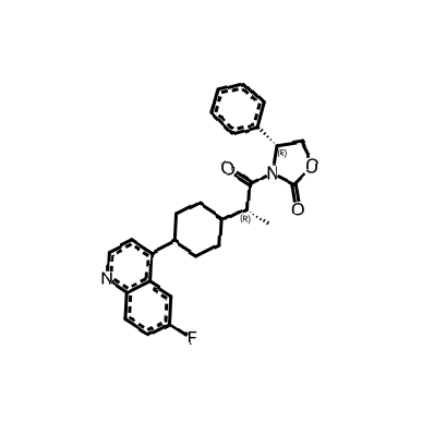 C[C@@H](C(=O)N1C(=O)OC[C@H]1c1ccccc1)C1CCC(c2ccnc3ccc(F)cc23)CC1